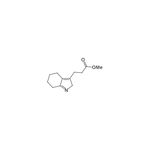 COC(=O)CCC1=C2CCCCC2=NC1